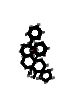 C[C@H]1[C@@H]2CCc3cnc(-c4ccncc4)nc3[C@@]2(c2ccccc2)CCC12OCCO2